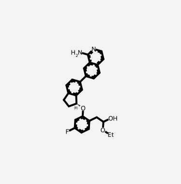 CCOC(O)Cc1ccc(F)cc1O[C@@H]1CCc2ccc(-c3ccc4ccnc(N)c4c3)cc21